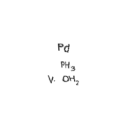 O.P.[Pd].[V]